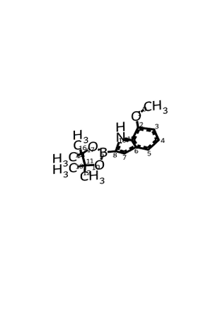 COc1cccc2cc(B3OC(C)(C)C(C)(C)O3)[nH]c12